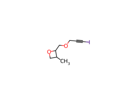 CC1COC1COCC#CI